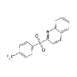 O=S(=O)(c1ccc(C(F)(F)F)cc1)c1ccc2ccccc2n1